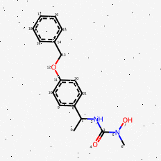 CC(NC(=O)N(C)O)c1ccc(OCc2ccccc2)cc1